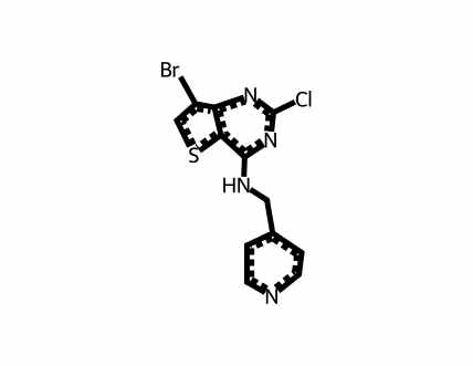 Clc1nc(NCc2ccncc2)c2scc(Br)c2n1